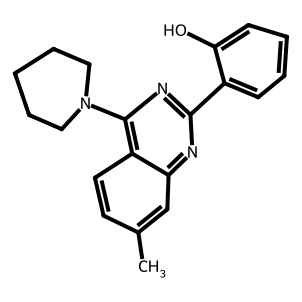 Cc1ccc2c(N3CCCCC3)nc(-c3ccccc3O)nc2c1